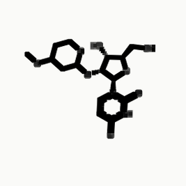 COC1CCOC(O[C@@H]2[C@H](O)[C@@H](CO)O[C@H]2n2ccc(=O)[nH]c2=O)C1